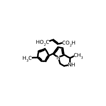 Cc1ccc(-c2ccc3n2CCNC3C)cc1.O=C(O)C=CC(=O)O